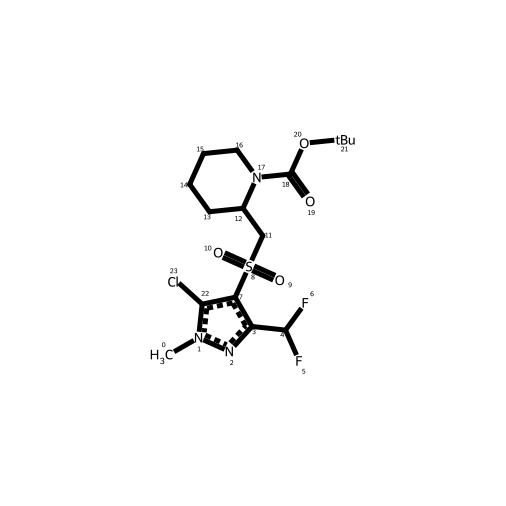 Cn1nc(C(F)F)c(S(=O)(=O)CC2CCCCN2C(=O)OC(C)(C)C)c1Cl